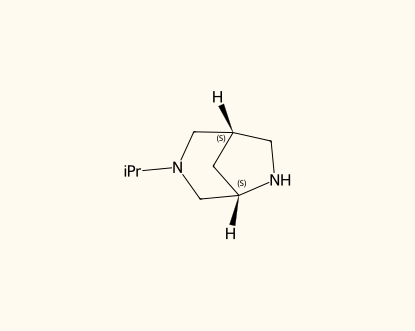 CC(C)N1C[C@@H]2CN[C@@H](C2)C1